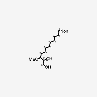 CCCCCCCCCCCCCCCCCC(OC)C(O)CO